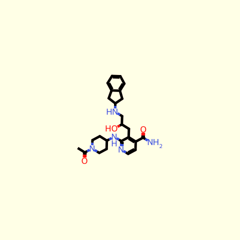 CC(=O)N1CCC(Nc2nccc(C(N)=O)c2CC(O)CNC2Cc3ccccc3C2)CC1